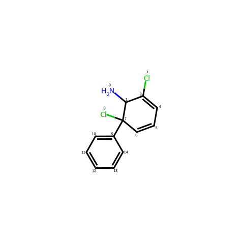 NC1C(Cl)=CC=CC1(Cl)c1ccccc1